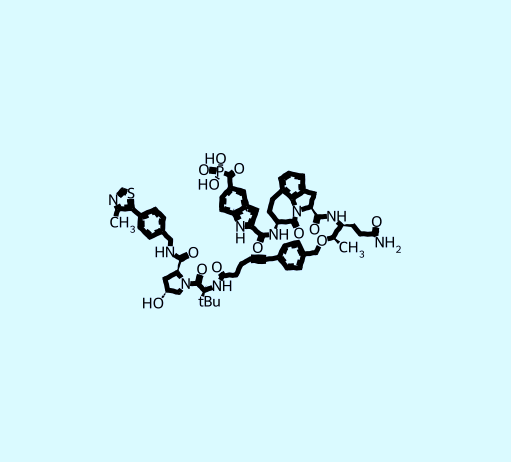 Cc1ncsc1-c1ccc(CNC(=O)[C@@H]2C[C@@H](O)CN2C(=O)[C@@H](NC(=O)CCC#Cc2ccc(CO[C@H](C)[C@H](CCC(N)=O)NC(=O)[C@@H]3Cc4cccc5c4N3C(=O)[C@@H](NC(=O)c3cc4cc(C(=O)P(=O)(O)O)ccc4[nH]3)CC5)cc2)C(C)(C)C)cc1